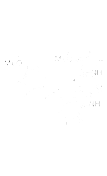 COc1ccc(C=Cc2cccc3c2C(=Cc2[nH]ccc2OC)C(=O)N3)cc1